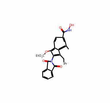 CCOC(=O)Oc1c2ccc(C(=O)NO)cc(C)c-2c(CC(C)C)c1N1C(=O)c2ccccc2C1=O